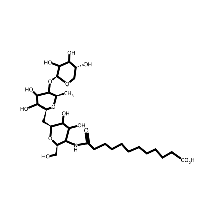 C[C@H]1O[C@@H](C[C@@H]2O[C@H](CO)C(NC(=O)CCCCCCCCCCC(=O)O)C(O)C2O)C(O)C(O)C1O[C@@H]1OC[C@@H](O)C(O)C1O